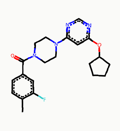 Cc1ccc(C(=O)N2CCN(c3cc(OC4CCCC4)ncn3)CC2)cc1F